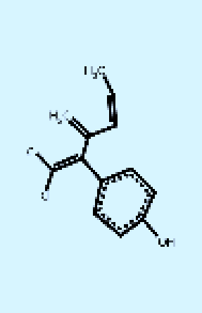 C=C(/C=C\C)C(=C(Cl)Cl)c1ccc(O)cc1